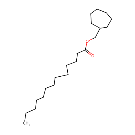 CCCCCCCCCCC[CH]C(=O)OCC1CCCCCC1